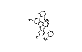 Cc1cccc(C)c1-c1cc(C#N)cc2c1c1cccc3c4c(-c5c(C)cccc5C)cc(C#N)cc4n2c13